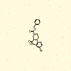 O=C1Nc2cc(Br)cnc2N2CCN(C(=O)OCc3ccccc3)CC12